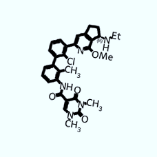 CCN[C@@H]1CCc2cc(-c3cccc(-c4cccc(NC(=O)c5cn(C)c(=O)n(C)c5=O)c4C)c3Cl)nc(OC)c21